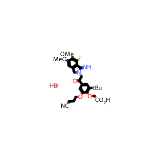 Br.COc1cc2c(c(F)c1OC)C(=N)N(CC(=O)c1cc(OCCCC#N)c(OCC(=O)O)c(C(C)(C)C)c1)C2